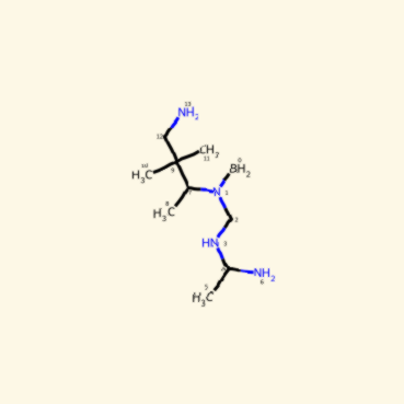 BN(CNC(C)N)C(C)C(C)(C)CN